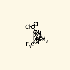 CCSc1nn2cc(-c3cc(Cl)cc(Cl)c3)cnc2c1-c1nc2cc(C(F)(F)F)cnc2n1C